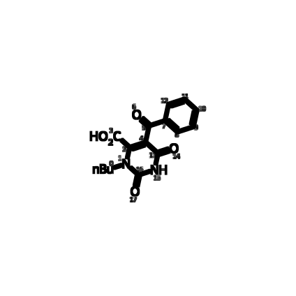 CCCCn1c(C(=O)O)c(C(=O)c2ccccc2)c(=O)[nH]c1=O